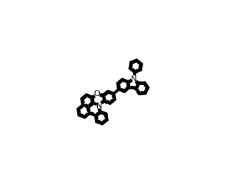 c1ccc(-n2c3ccccc3c3cc(-c4ccc5c(c4)oc4ccc6cccc7c8ccccc8n5-c4c67)ccc32)cc1